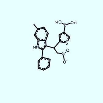 Cc1ccc2c(C(C[N+](=O)[O-])c3cc(B(O)O)cs3)c(-c3ccccc3)[nH]c2c1